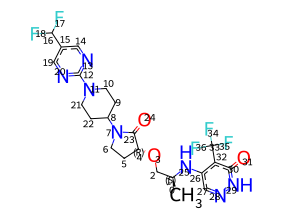 C[C@@H](CO[C@@H]1CCN(C2CCN(c3ncc(C(F)F)cn3)CC2)C1=O)Nc1cn[nH]c(=O)c1C(F)(F)F